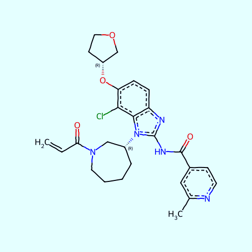 C=CC(=O)N1CCCC[C@@H](n2c(NC(=O)c3ccnc(C)c3)nc3ccc(O[C@@H]4CCOC4)c(Cl)c32)C1